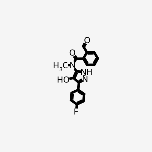 CN(C(=O)c1ccccc1C=O)c1[nH]nc(-c2ccc(F)cc2)c1O